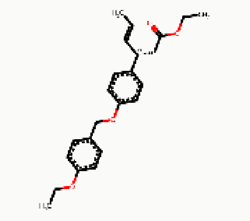 CC=C[C@H](CC(=O)OCC)c1ccc(OCc2ccc(OCC)cc2)cc1